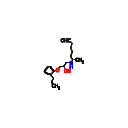 C=CCc1ccccc1OCC(O)CNC(C)CCCCC=O